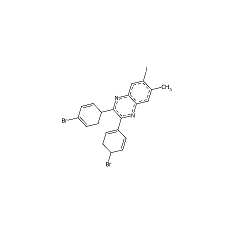 Cc1cc2nc(C3=CCC(Br)C=C3)c(C3C=CC(Br)=CC3)nc2cc1I